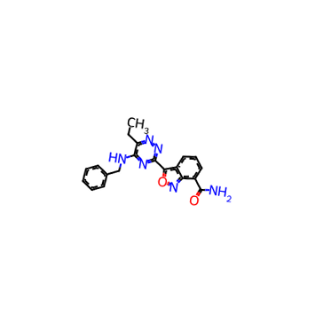 CCc1nnc(-c2onc3c(C(N)=O)cccc23)nc1NCc1ccccc1